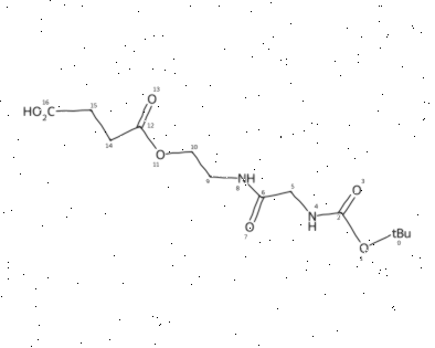 CC(C)(C)OC(=O)NCC(=O)NCCOC(=O)CCC(=O)O